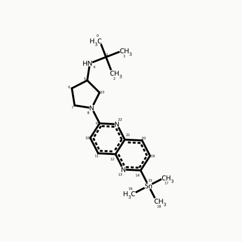 CC(C)(C)NC1CCN(c2ccc3n[c]([Sn]([CH3])([CH3])[CH3])ccc3n2)C1